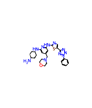 N[C@H]1CC[C@H](Nc2cc(CN3CCOCC3)cc(Nc3ncc(-c4nnn(-c5ccccc5)n4)s3)n2)CC1